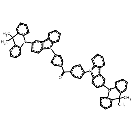 CC1(C)c2ccccc2N(c2ccc3c(c2)c2ccccc2n3-c2ccc(C(=O)c3ccc(-n4c5ccccc5c5cc(N6c7ccccc7C(C)(C)c7ccccc76)ccc54)cc3)cc2)c2ccccc21